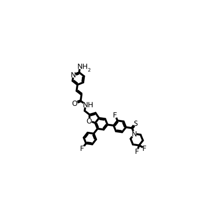 Nc1ccc(C=CC(=O)NCc2cc3cc(-c4ccc(C(=S)N5CCC(F)(F)CC5)cc4F)cc(-c4ccc(F)cc4)c3o2)cn1